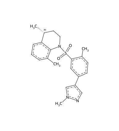 Cc1ccc(-c2cnn(C)c2)cc1S(=O)(=O)N1CC[C@@H](C)c2cccc(C)c21